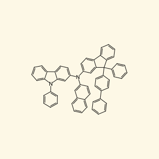 c1ccc(-c2ccc(C3(c4ccccc4)c4ccccc4-c4ccc(N(c5ccc6ccccc6c5)c5ccc6c7ccccc7n(-c7ccccc7)c6c5)cc43)cc2)cc1